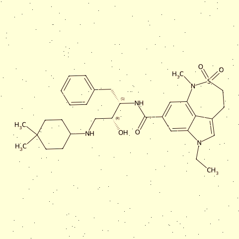 CCn1cc2c3c(cc(C(=O)N[C@@H](Cc4ccccc4)[C@H](O)CNC4CCC(C)(C)CC4)cc31)N(C)S(=O)(=O)CC2